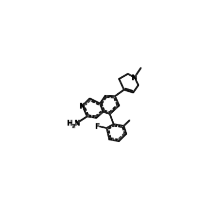 Cc1cccc(F)c1-c1cc(C2=CCN(C)CC2)cc2cnc(N)cc12